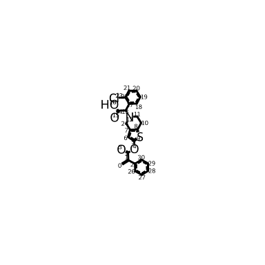 C=C(C(=O)Oc1cc2c(s1)CCN(C(C(=O)O)c1ccccc1Cl)C2)c1ccccc1